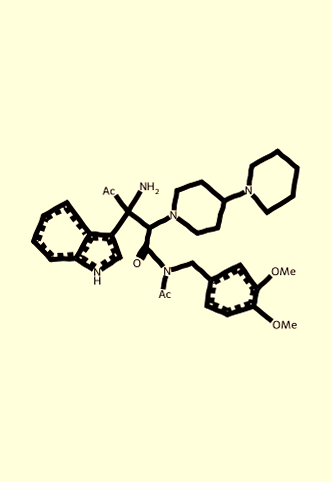 COc1ccc(CN(C(C)=O)C(=O)C(N2CCC(N3CCCCC3)CC2)C(N)(C(C)=O)c2c[nH]c3ccccc23)cc1OC